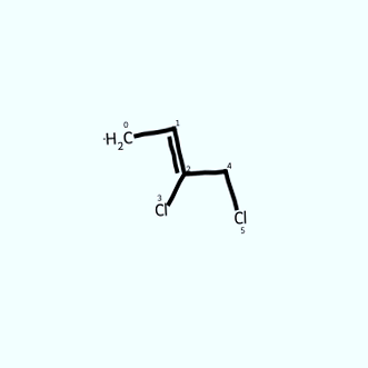 [CH2]C=C(Cl)CCl